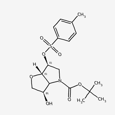 Cc1ccc(S(=O)(=O)O[C@H]2CN(C(=O)OC(C)(C)C)C3[C@@H](O)CO[C@@H]32)cc1